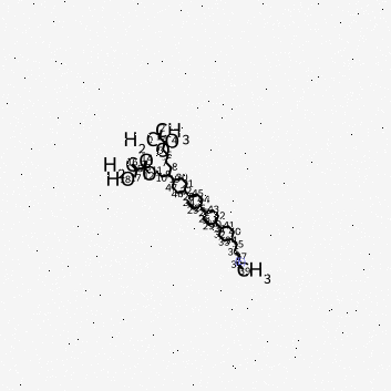 C=C(C)C(=O)OCCCC(CCOC(=O)C(=C)CO)C1CCC(c2ccc(-c3ccc(C4CCC(CC/C=C/C)CC4)cc3)cc2)CC1